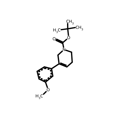 COc1cccc(C2=CCCN(C(=O)OC(C)(C)C)C2)c1